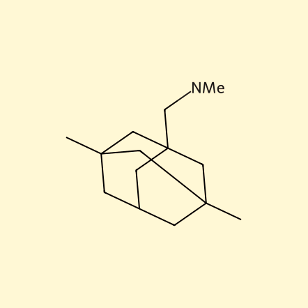 CNCC12CC3CC(C)(CC(C)(C3)C1)C2